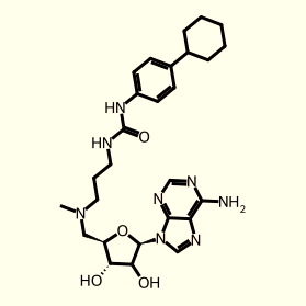 CN(CCCNC(=O)Nc1ccc(C2CCCCC2)cc1)C[C@H]1O[C@@H](n2cnc3c(N)ncnc32)C(O)[C@@H]1O